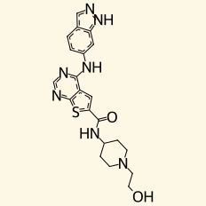 O=C(NC1CCN(CCO)CC1)c1cc2c(Nc3ccc4cn[nH]c4c3)ncnc2s1